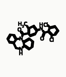 Cc1cc(NC(=O)c2c(Cl)cccc2Cl)ccc1C(=O)N1c2ccccc2CNc2ccccc21